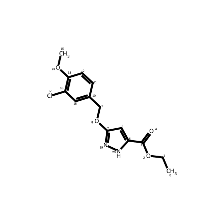 CCOC(=O)c1cc(OCc2ccc(OC)c(Cl)c2)n[nH]1